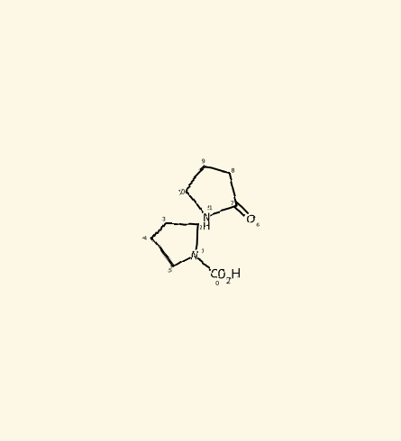 O=C(O)N1CCCC1.O=C1CCCN1